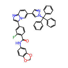 O=C(Nc1ccc2c(c1)OCO2)c1ccc(-c2cnc3ccc(-c4cnn(C(c5ccccc5)(c5ccccc5)c5ccccc5)c4)cn23)cc1F